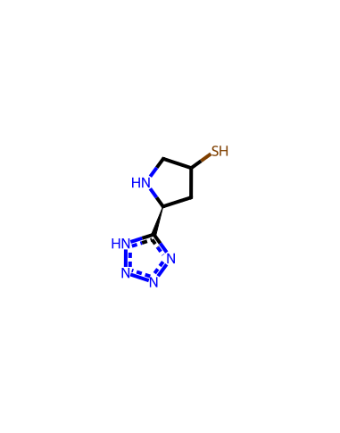 SC1CN[C@H](c2nnn[nH]2)C1